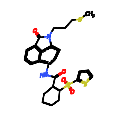 CSCCCN1C(=O)c2cccc3c(NC(=O)C4CCCCC4S(=O)(=O)c4cccs4)ccc1c23